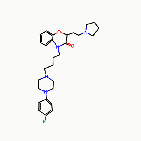 O=C1C(CCN2CCCC2)Oc2ccccc2N1CCCCN1CCN(c2ccc(F)cc2)CC1